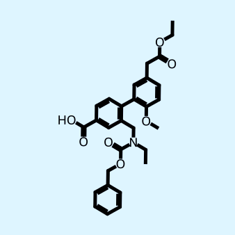 CCOC(=O)Cc1ccc(OC)c(-c2ccc(C(=O)O)cc2CN(CC)C(=O)OCc2ccccc2)c1